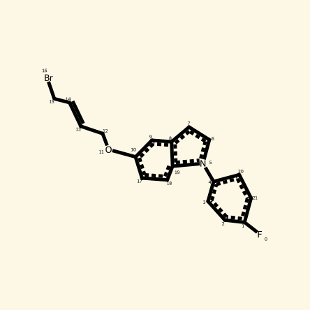 Fc1ccc(-n2ccc3cc(OC/C=C/CBr)ccc32)cc1